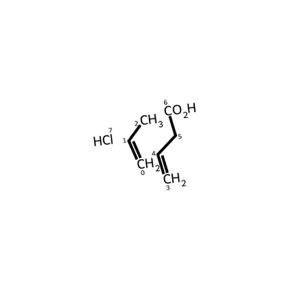 C=CC.C=CCC(=O)O.Cl